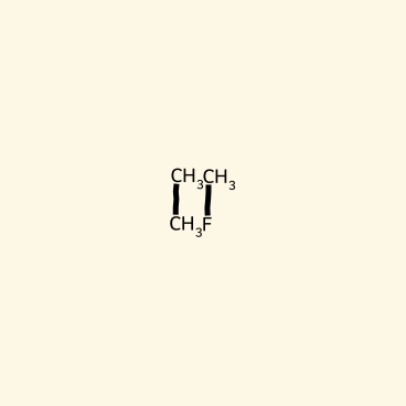 CC.CF